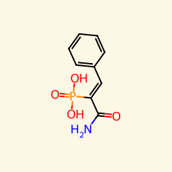 NC(=O)C(=Cc1ccccc1)P(=O)(O)O